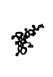 COC(=O)c1ccc(CN[C@@H]2[C@H](CO)N(C3CCCCCC3)[C@@]3(C(=O)Nc4cc(Cl)ccc43)[C@H]2c2cccc(Cl)c2)c([N+](=O)[O-])c1